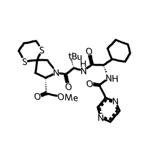 COC(=O)[C@@H]1CC2(CN1C(=O)[C@@H](NC(=O)[C@@H](NC(=O)c1cnccn1)C1CCCCC1)C(C)(C)C)SCCCS2